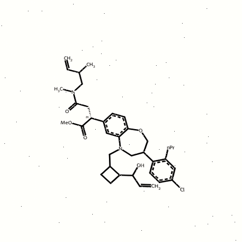 C=CC(C)CN(C)C(=O)C[C@@H](C(=O)OC)c1ccc2c(c1)N(CC1CCC1C(O)C=C)CC(c1ccc(Cl)cc1CCC)CO2